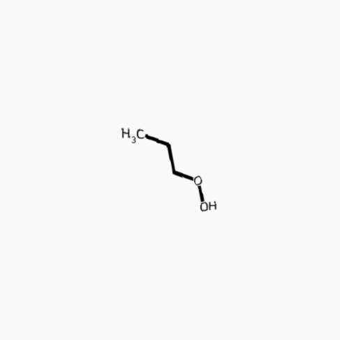 CCCOO